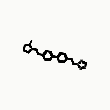 C[C@@H]1CCCN1CCc1ccc(-c2ccc(CCn3ncnn3)cc2)cc1